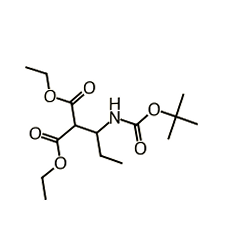 CCOC(=O)C(C(=O)OCC)C(CC)NC(=O)OC(C)(C)C